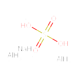 O=S(=O)(O)O.[AlH3].[AlH3].[NaH]